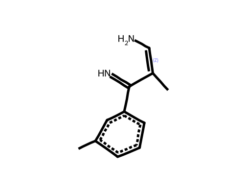 C/C(=C/N)C(=N)c1cccc(C)c1